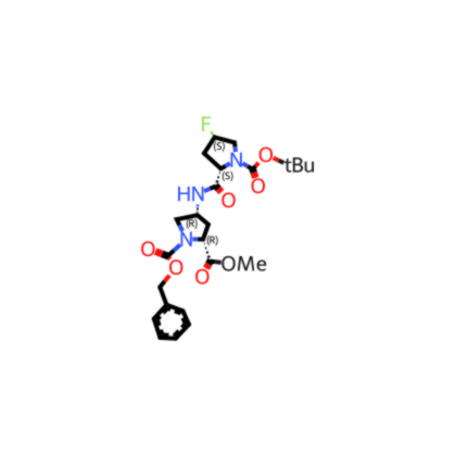 COC(=O)[C@H]1C[C@@H](NC(=O)[C@@H]2C[C@H](F)CN2C(=O)OC(C)(C)C)CN1C(=O)OCc1ccccc1